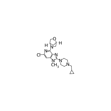 Cn1c(N2CCN(CC3CC3)CC2)nc2c(N3C[C@H]4C[C@@H]3CO4)nc(Cl)cc21